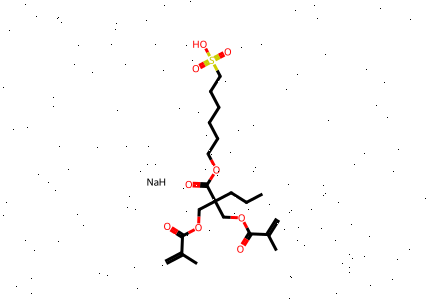 C=C(C)C(=O)OCC(CCC)(COC(=O)C(=C)C)C(=O)OCCCCCCS(=O)(=O)O.[NaH]